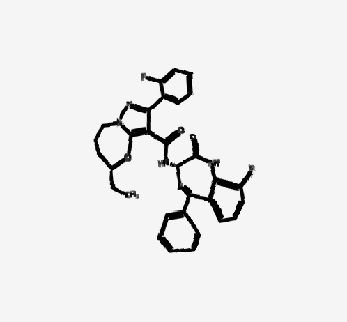 CC[C@H]1CCCn2nc(-c3ccccc3F)c(C(=O)N[C@H]3N=C(c4ccccc4)c4cccc(F)c4NC3=O)c2O1